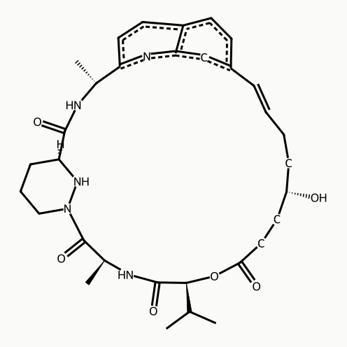 CC(C)[C@@H]1OC(=O)CC[C@@H](O)CC/C=C/c2ccc3ccc(nc3c2)[C@@H](C)NC(=O)[C@@H]2CCCN(N2)C(=O)[C@H](C)NC1=O